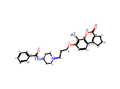 CC(=O)c1c(OCCCN2CCC(NC(=O)c3ccccc3)CC2)ccc2c3c(c(=O)oc12)CCC3